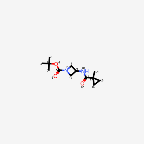 CC(C)(C)OC(=O)N1CC(NC(=O)C2(C)CC2)C1